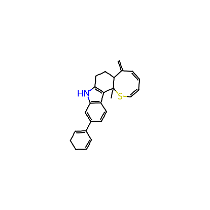 C=C1/C=C\C=C/SC2(C)c3c([nH]c4cc(C5=CCCC=C5)ccc34)CCC12